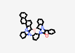 c1cc2c3c(c1)-n1c4oc5ccccc5c4n4c5ccccc5c(c14)B3c1c3ccc4c5ccccc5ccc4c3n3c4ccccc4n-2c13